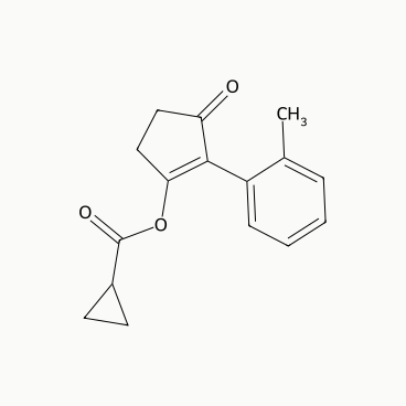 Cc1ccccc1C1=C(OC(=O)C2CC2)CCC1=O